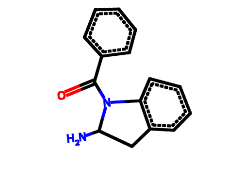 NC1Cc2ccccc2N1C(=O)c1ccccc1